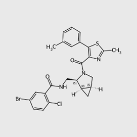 Cc1cccc(-c2sc(C)nc2C(=O)N2C[C@H]3C[C@H]3[C@H]2CNC(=O)c2cc(Br)ccc2Cl)c1